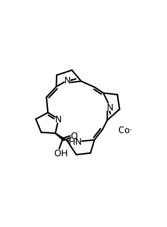 O=C(O)C12CCC(=N1)C=C1CCC(=N1)C=C1CCC(=N1)C=C1CCC2N1.[Co]